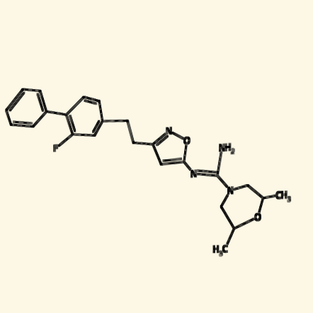 CC1CN(C(N)=Nc2cc(CCc3ccc(-c4ccccc4)c(F)c3)no2)CC(C)O1